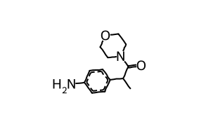 CC(C(=O)N1CCOCC1)c1ccc(N)cc1